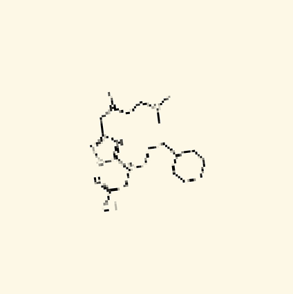 CN(C)CCN(C)Cc1noc([C@H](CCCC2CCCCC2)CC(=O)O)n1